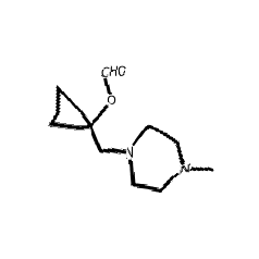 CN1CCN(CC2(OC=O)CC2)CC1